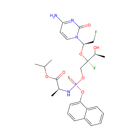 CC(C)OC(=O)[C@H](C)NP(=S)(OC[C@@](F)(O[C@H](CF)n1ccc(N)nc1=O)[C@H](C)O)Oc1cccc2ccccc12